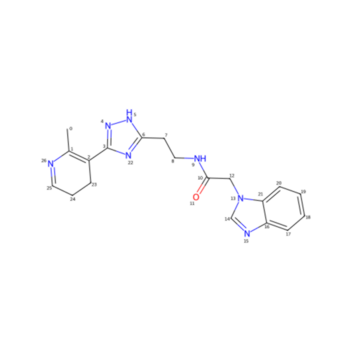 CC1=C(c2n[nH]c(CCNC(=O)Cn3cnc4ccccc43)n2)CCC=N1